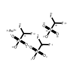 O=S(=O)([O-])C(F)F.O=S(=O)([O-])C(F)F.O=S(=O)([O-])C(F)F.[Au+3]